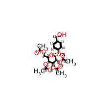 CC(=O)OCC1O[C@@H](Oc2ccc(CO)cc2)[C@@H](OC(C)=O)C(OC(C)=O)[C@@H]1OC(C)=O